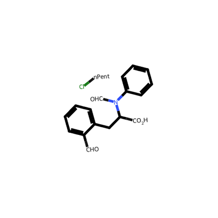 CCCCCCl.O=Cc1ccccc1CC(C(=O)O)N(C=O)c1ccccc1